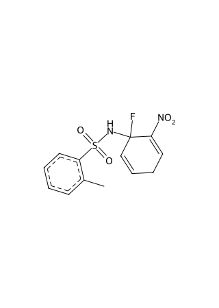 Cc1ccccc1S(=O)(=O)NC1(F)C=CCC=C1[N+](=O)[O-]